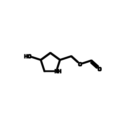 O=COCC1CC(O)CN1